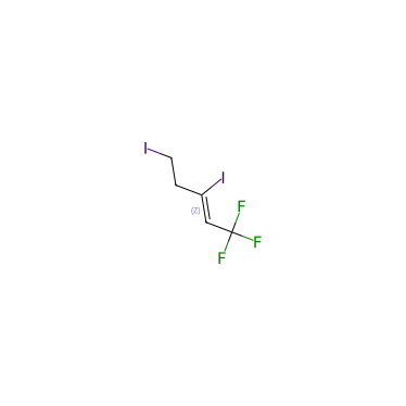 FC(F)(F)/C=C(\I)CCI